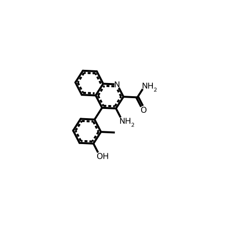 Cc1c(O)cccc1-c1c(N)c(C(N)=O)nc2ccccc12